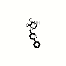 O=C1NCCN(Cc2ccc(-c3ccccc3)nc2)C1=O